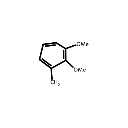 [CH2]c1cccc(OC)c1OC